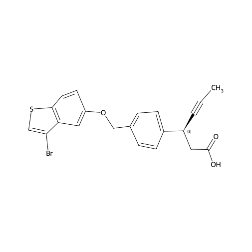 CC#C[C@@H](CC(=O)O)c1ccc(COc2ccc3scc(Br)c3c2)cc1